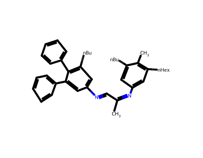 CCCCCCc1cc(N=C(C)C=Nc2cc(CCCC)c(-c3ccccc3)c(-c3ccccc3)c2)cc(CCCC)c1C